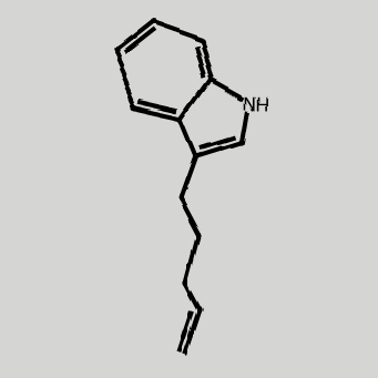 C=CCCCc1c[nH]c2ccccc12